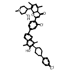 CC1=CC(C)=C(C2CCN(C)C[C@H]2O)C2OC(c3ccc(-c4ccc5c(C)c(O)c(C6CCC(c7ccc(Cl)cc7)CC6)c(C)c5c4)cc3Cl)=CC(=O)C12